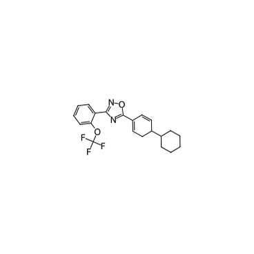 FC(F)(F)Oc1ccccc1-c1noc(C2=CCC(C3CCCCC3)C=C2)n1